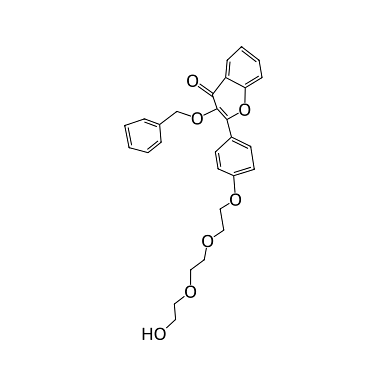 O=c1c(OCc2ccccc2)c(-c2ccc(OCCOCCOCCO)cc2)oc2ccccc12